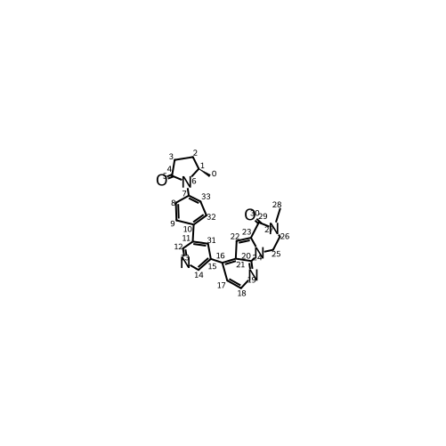 C[C@@H]1CCC(=O)N1c1ccc(-c2cncc(-c3ccnc4c3cc3n4CCN(C)C3=O)c2)cc1